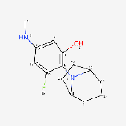 CNc1cc(O)c(N2C3CCCC2CC3)c(F)c1